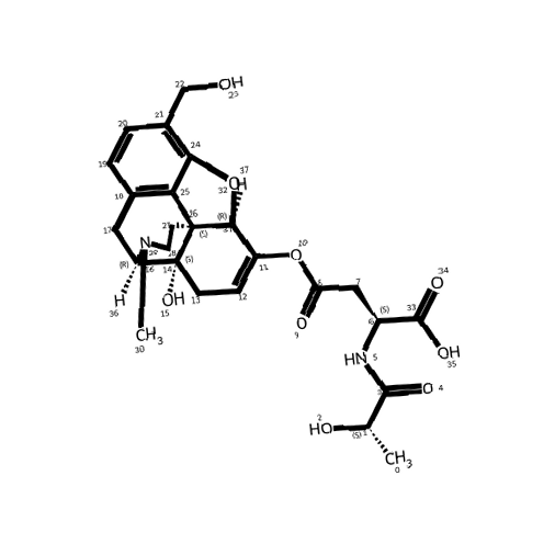 C[C@H](O)C(=O)N[C@@H](CC(=O)OC1=CC[C@@]2(O)[C@H]3Cc4ccc(CO)c5c4[C@@]2(CCN3C)[C@H]1O5)C(=O)O